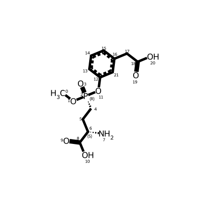 CO[P@](=O)(CC[C@H](N)C(=O)O)Oc1cccc(CC(=O)O)c1